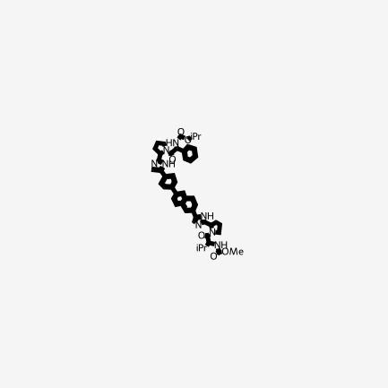 COC(=O)NC(C(=O)N1CCCC1c1ncc(-c2ccc3cc(-c4ccc(-c5cnc(C6CCCN6C(=O)C(NC(=O)OC(C)C)c6ccccc6)[nH]5)cc4)ccc3c2)[nH]1)C(C)C